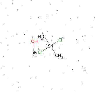 CC(C)O.[CH3][Sn]([CH3])([Cl])[Cl]